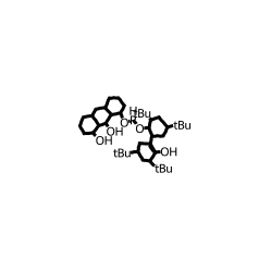 CC(C)(C)C1CC(C2CC(C(C)(C)C)CC(C(C)(C)C)C2OPOC2CCCC3CC4CCCC(O)C4C(O)C32)=C(O)C(C(C)(C)C)C1